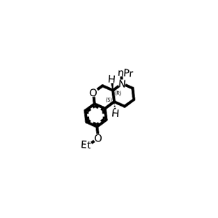 CCCN1CCC[C@H]2c3cc(OCC)ccc3OC[C@@H]21